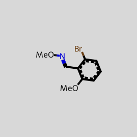 CO/N=C/c1c(Br)cccc1OC